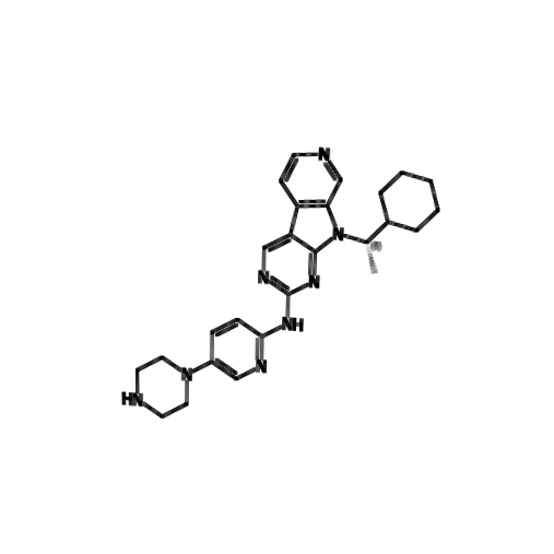 C[C@@H](C1CCCCC1)n1c2cnccc2c2cnc(Nc3ccc(N4CCNCC4)cn3)nc21